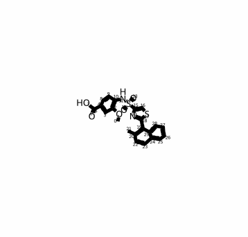 COc1cc(C(=O)O)ccc1NS(=O)(=O)c1csc(-c2c(C)ccc3ccccc23)n1